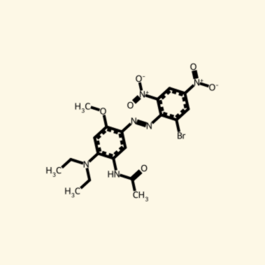 CCN(CC)c1cc(OC)c(N=Nc2c(Br)cc([N+](=O)[O-])cc2[N+](=O)[O-])cc1NC(C)=O